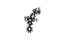 O=C1NC2(CCN(C(=O)CC(F)(F)F)CC2)Nc2cc(-c3ccncc3)sc21